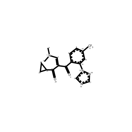 CN(C)C=C(C(=O)c1ccc(C(F)(F)F)cc1-n1cncn1)C(=O)C1CC1